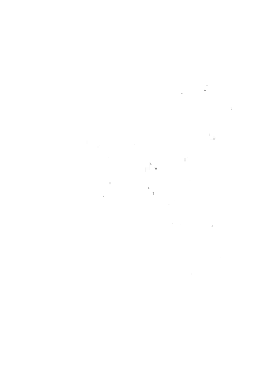 CCOC(=O)CN1N=C(c2ccccc2)CC1C1CCCCC1